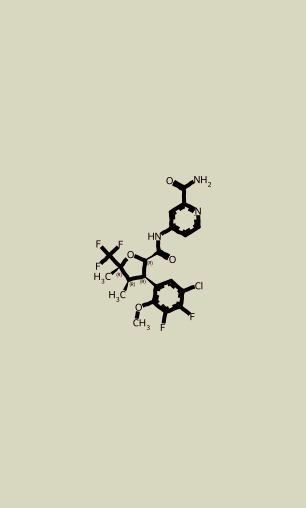 COc1c([C@H]2[C@@H](C)[C@](C)(C(F)(F)F)O[C@H]2C(=O)Nc2ccnc(C(N)=O)c2)cc(Cl)c(F)c1F